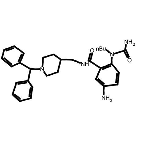 CCCCN(C(N)=O)c1ccc(N)cc1C(=O)NCC1CCN(C(c2ccccc2)c2ccccc2)CC1